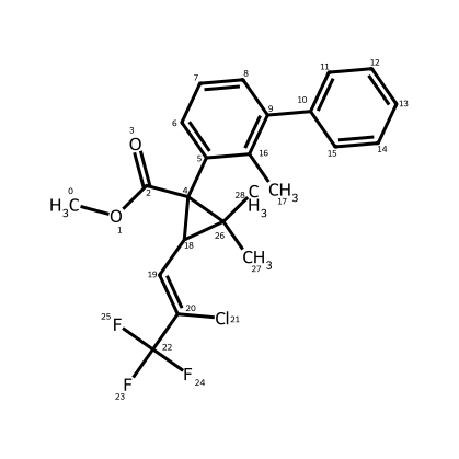 COC(=O)C1(c2cccc(-c3ccccc3)c2C)C(C=C(Cl)C(F)(F)F)C1(C)C